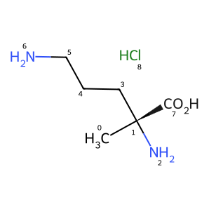 C[C@@](N)(CCCN)C(=O)O.Cl